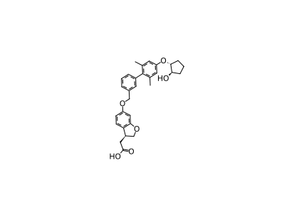 Cc1cc(O[C@@H]2CCC[C@H]2O)cc(C)c1-c1cccc(COc2ccc3c(c2)OC[C@H]3CC(=O)O)c1